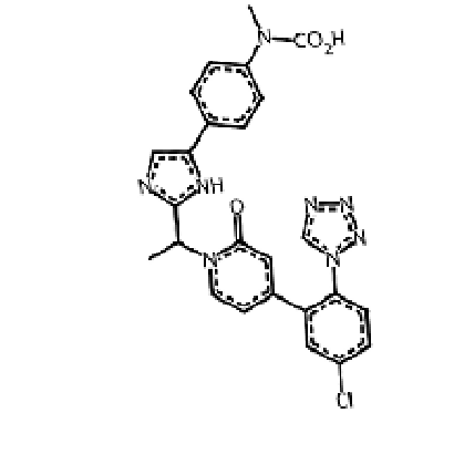 CC(c1ncc(-c2ccc(N(C)C(=O)O)cc2)[nH]1)n1ccc(-c2cc(Cl)ccc2-n2cnnn2)cc1=O